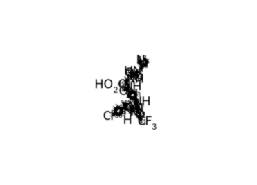 O=C(NCc1cccnc1)C(=O)NC[C@@H](NC(=O)c1ccc(Nc2nc(NC3(c4ccc(Cl)cc4)CC3)nc(OCC(F)(F)F)n2)cc1)C(=O)O